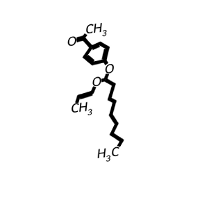 C/C=C/OC(CCCCCCCC)Oc1ccc(C(C)=O)cc1